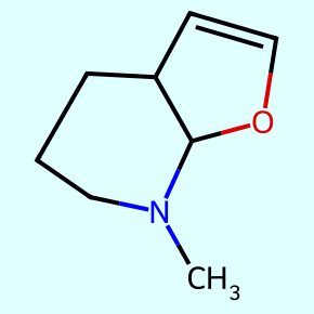 CN1CCCC2C=COC21